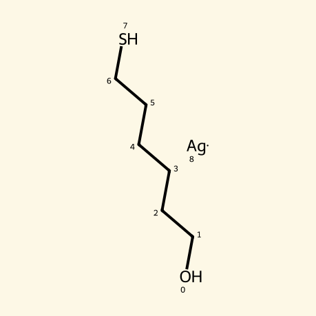 OCCCCCCS.[Ag]